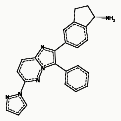 N[C@H]1CCc2cc(-c3nc4ccc(-n5cccn5)nn4c3-c3ccccc3)ccc21